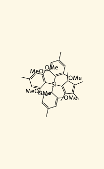 COc1cc(C)cc(OC)c1[Si](C1=C(C)C(C)=C(C)C1C)(c1c(OC)cc(C)cc1OC)c1c(OC)cc(C)cc1OC